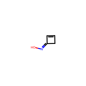 ON=C1C=CC1